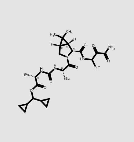 CCCC(NC(=O)[C@@H]1[C@@H]2[C@H](CN1C(=O)[C@@H](NC(=O)N[C@H](C(=O)OC(C1CC1)C1CC1)C(C)C)C(C)(C)C)C2(C)C)C(=O)C(N)=O